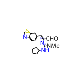 CN/C(=N\C(C=O)=C/c1ccc2ncsc2c1)NC1CCCC1